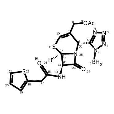 Bn1nnnc1[C@H]1C(COC(C)=O)=CS[C@@H]2[C@H](NC(=O)Cc3cccs3)C(=O)N12